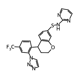 FC(F)(F)c1ccc(C2CCOc3cc(SNc4ncccn4)ccc32)c(-n2ccnn2)c1